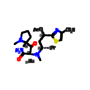 CC[C@H](C)[C@](C(N)=O)(C(=O)[C@@]1(C)CCCN1C)N(C)[C@H](C[C@@H](OC(C)=O)c1nc(C(=O)O)cs1)C(C)C